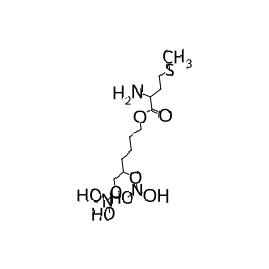 CSCCC(N)C(=O)OCCCCC(CON(O)O)ON(O)O